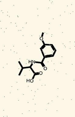 COc1cccc(C(=O)NC(C(=O)O)C(C)C)c1